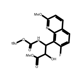 COC(=O)C(O)C(NC(=O)OC(C)(C)C)c1c(F)ccc2ccc(OC)nc12